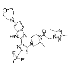 Cc1nc(C)n(CC(=O)N2CCN(c3sc(C(F)(F)F)nc3-c3nc4ccc(N5CCOCC5)cc4[nH]3)CC2C)n1